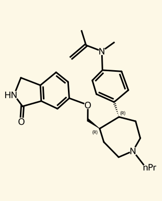 C=C(C)N(C)c1ccc([C@@H]2CCN(CCC)CC[C@H]2COc2ccc3c(c2)C(=O)NC3)cc1